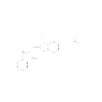 CCCn1c(CN2C(=O)c3ccccc3C2=O)nc2ccc(OCC(=O)OC(C)(C)C)cc21